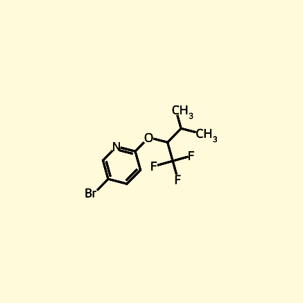 CC(C)C(Oc1ccc(Br)cn1)C(F)(F)F